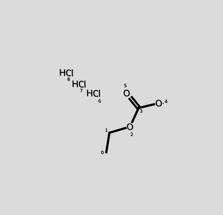 CCOC([O])=O.Cl.Cl.Cl